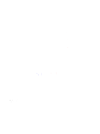 COc1ccc(CNC[C@@H](O)c2ccc(OS(=O)(=O)c3ccccc3)cc2)cc1